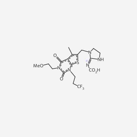 COCCn1c(=O)c2c(C)c(CN3CCN/C3=N\C(=O)O)sc2n(CCC(F)(F)F)c1=O